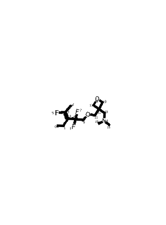 CC/C(=C(/C)F)C(F)(F)COCC1(CN(C)C)COC1